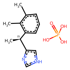 Cc1cccc([C@H](C)c2c[nH]cn2)c1C.O=P(O)(O)O